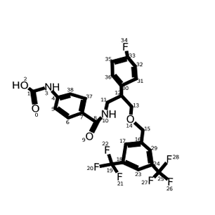 O=C(O)Nc1ccc(C(=O)NCC(COCc2cc(C(F)(F)F)cc(C(F)(F)F)c2)c2ccc(F)cc2)cc1